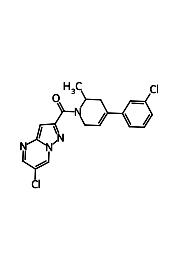 CC1CC(c2cccc(Cl)c2)=CCN1C(=O)c1cc2ncc(Cl)cn2n1